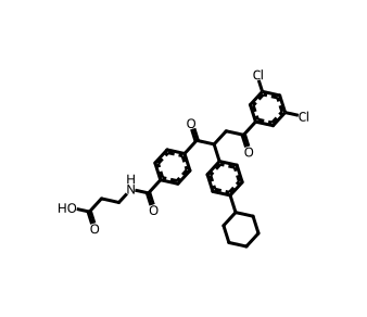 O=C(O)CCNC(=O)c1ccc(C(=O)C(CC(=O)c2cc(Cl)cc(Cl)c2)c2ccc(C3CCCCC3)cc2)cc1